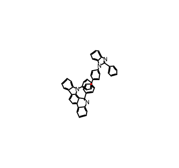 c1ccc(-c2nc3ccccc3n2-c2ccc(-c3ccc(-c4nc5ccccc5c5ccc6c7ccccc7n(-c7ccccc7)c6c45)cc3)cc2)cc1